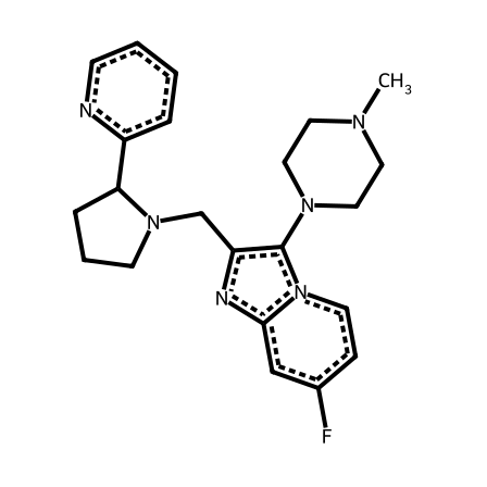 CN1CCN(c2c(CN3CCCC3c3ccccn3)nc3cc(F)ccn23)CC1